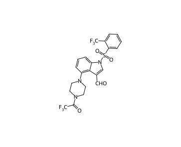 O=Cc1cn(S(=O)(=O)c2ccccc2C(F)(F)F)c2cccc(N3CCN(C(=O)C(F)(F)F)CC3)c12